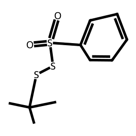 CC(C)(C)SSS(=O)(=O)c1ccccc1